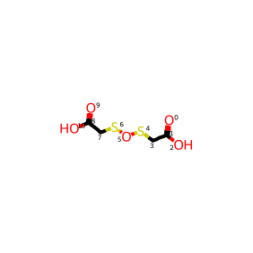 O=C(O)CSOSCC(=O)O